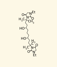 CCN1CC(=O)N(C(C)(C)CCC(O)CCCC(O)CCC(C)(C)N2C(=O)CN(CC)C2=O)C1=O